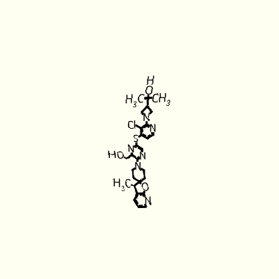 C[C@@H]1c2cccnc2OC12CCN(c1ncc(Sc3ccnc(N4CC(C(C)(C)O)C4)c3Cl)nc1CO)CC2